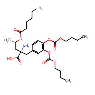 CCCCCC(=O)O[C@@H](C)C[C@@](N)(Cc1ccc(OC(=O)OCCCC)c(OC(=O)OCCCC)c1)C(=O)O